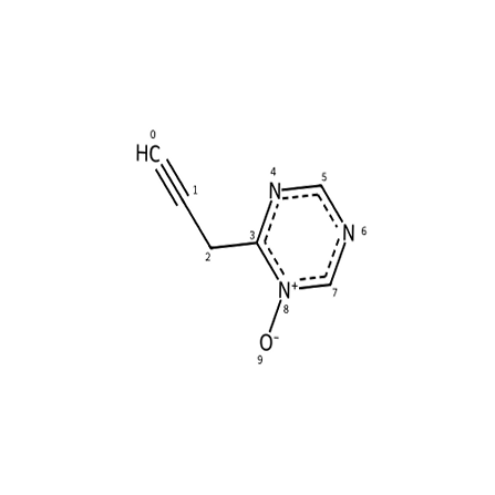 C#CCc1ncnc[n+]1[O-]